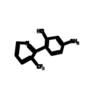 Nc1ccc(-c2ncccc2C(F)(F)F)c(O)c1